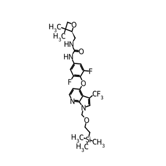 CC1(C)CO[C@H]1CNC(=O)Nc1cc(F)c(Oc2ccnc3c2c(C(F)(F)F)cn3COCC[Si](C)(C)C)c(F)c1